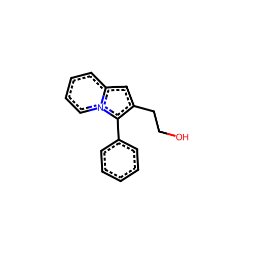 OCCc1cc2ccccn2c1-c1ccccc1